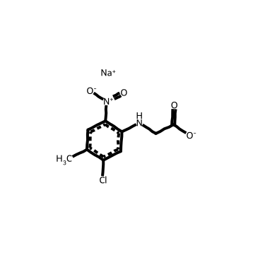 Cc1cc([N+](=O)[O-])c(NCC(=O)[O-])cc1Cl.[Na+]